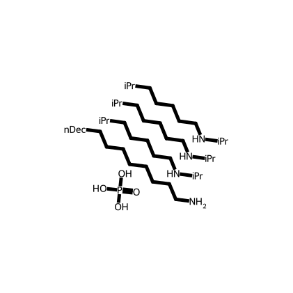 CC(C)CCCCCNC(C)C.CC(C)CCCCCNC(C)C.CC(C)CCCCCNC(C)C.CCCCCCCCCCCCCCCCCCN.O=P(O)(O)O